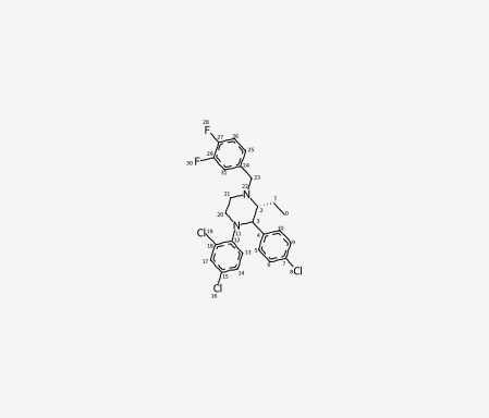 CC[C@@H]1C(c2ccc(Cl)cc2)N(c2ccc(Cl)cc2Cl)CCN1Cc1ccc(F)c(F)c1